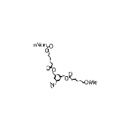 CCCCCCCCCC(=O)OCCCCCC(=O)OCc1cc(COC(=O)CCCCCOC)cc(CN(C)C)c1